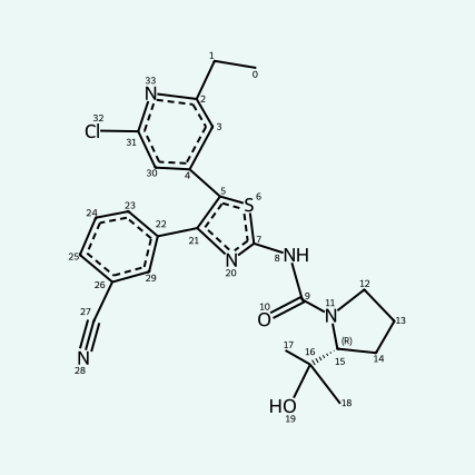 CCc1cc(-c2sc(NC(=O)N3CCC[C@@H]3C(C)(C)O)nc2-c2cccc(C#N)c2)cc(Cl)n1